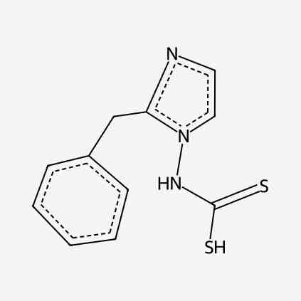 S=C(S)Nn1ccnc1Cc1ccccc1